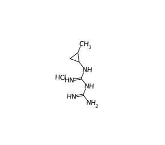 CC1CC1NC(=N)NC(=N)N.Cl